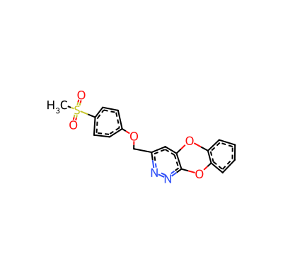 CS(=O)(=O)c1ccc(OCc2cc3c(nn2)Oc2ccccc2O3)cc1